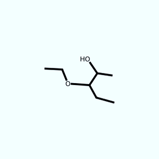 CCOC(CC)C(C)O